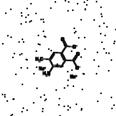 Cc1cc(C(=O)[O-])c(C(=O)[O-])cc1N.[Na+].[Na+]